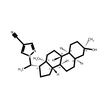 CC([C@H]1CC[C@H]2[C@@H]3CC[C@@H]4C[C@](C)(O)CC[C@@H]4[C@H]3CC[C@]12C)n1cc(C#N)cn1